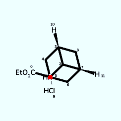 CCOC(=O)CC1[C@@H]2CNC[C@H]1C2.Cl